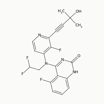 CC(C)(O)C#Cc1nccc(N(CC(F)F)c2nc(=O)[nH]c3cccc(F)c23)c1F